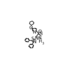 Cc1noc(-c2ccc(OC3CCCCC3)cn2)c1CNc1nc(-c2ccccc2)c(-c2ccccc2)s1